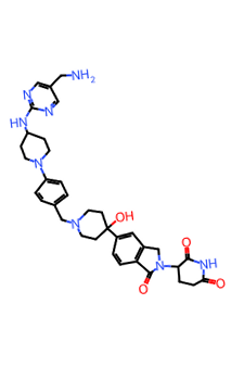 NCc1cnc(NC2CCN(c3ccc(CN4CCC(O)(c5ccc6c(c5)CN(C5CCC(=O)NC5=O)C6=O)CC4)cc3)CC2)nc1